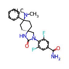 CN(C)[C@]1(c2ccccc2)CC[C@]2(CC1)CN(c1c(F)cc(C(N)=O)cc1F)C(=O)N2